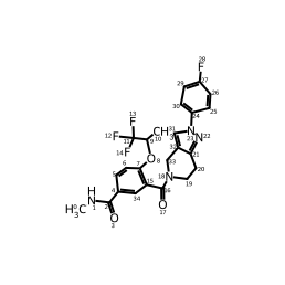 CNC(=O)c1ccc(OC(C)C(F)(F)F)c(C(=O)N2CCc3nn(-c4ccc(F)cc4)cc3C2)c1